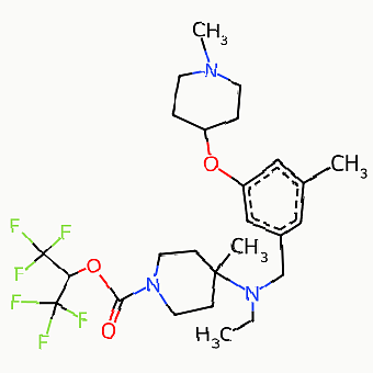 CCN(Cc1cc(C)cc(OC2CCN(C)CC2)c1)C1(C)CCN(C(=O)OC(C(F)(F)F)C(F)(F)F)CC1